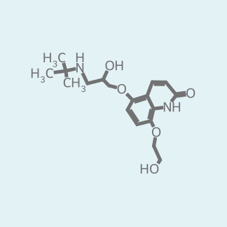 CC(C)(C)NCC(O)COc1ccc(OCCO)c2[nH]c(=O)ccc12